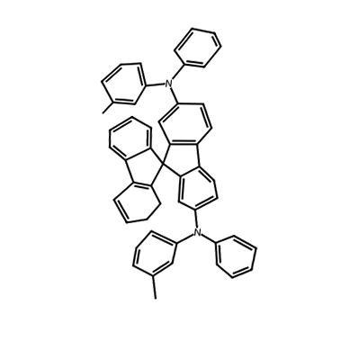 Cc1cccc(N(c2ccccc2)c2ccc3c(c2)C2(C4=C(C=CCC4)c4ccccc42)c2cc(N(c4ccccc4)c4cccc(C)c4)ccc2-3)c1